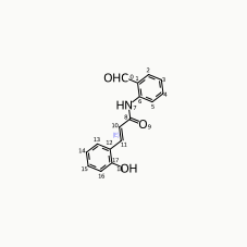 O=Cc1ccccc1NC(=O)/C=C/c1ccccc1O